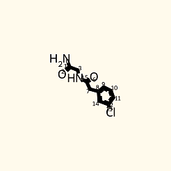 NC(=O)CNC(=O)Cc1cccc(Cl)c1